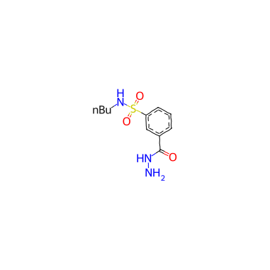 CCCCNS(=O)(=O)c1cccc(C(=O)NN)c1